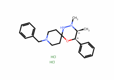 C[C@H]1[C@@H](c2ccccc2)OC2(CCN(Cc3ccccc3)CC2)NN1C.Cl.Cl